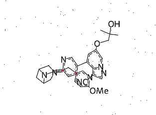 COc1ccc(CC#CN2C3CC2CN(c2ccc(-c4cc(OCC(C)(C)O)cn5ncc(C#N)c45)cn2)C3)cn1